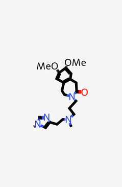 COc1cc2c(cc1OC)CC(=O)N(CCCN(C)CCc1cn(C)cn1)CC2